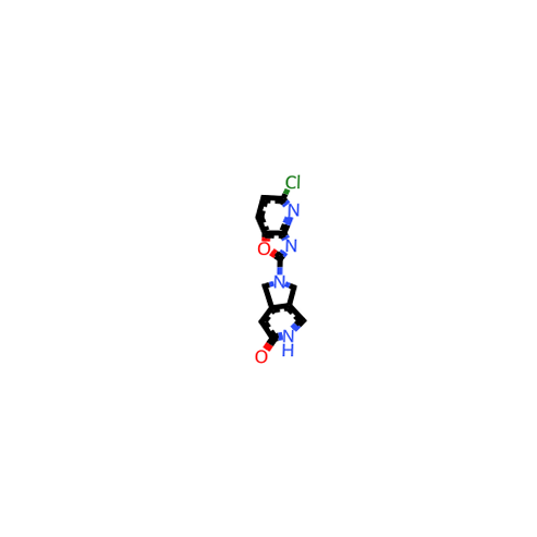 O=c1cc2c(c[nH]1)CN(c1nc3nc(Cl)ccc3o1)C2